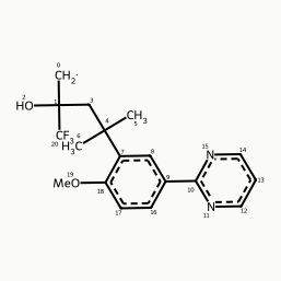 [CH2]C(O)(CC(C)(C)c1cc(-c2ncccn2)ccc1OC)C(F)(F)F